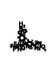 COc1ncc(-c2ccc(N(C(=O)NCC(F)(F)F)[C@H]3CC[C@H](OC(N)=O)CC3)nc2)cn1